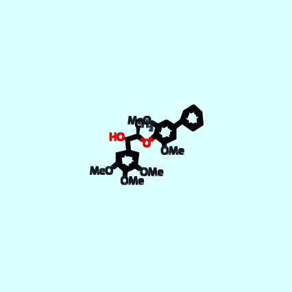 COc1cc([C@H](O)[C@@H](C)Oc2c(OC)cc(-c3ccccc3)cc2OC)cc(OC)c1OC